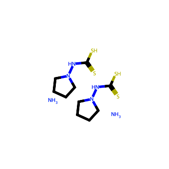 N.N.S=C(S)NN1CCCC1.S=C(S)NN1CCCC1